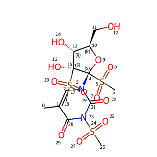 Cc1cn([C@]2(S(C)(=O)=O)O[C@H](CO)[C@@H](O)[C@]2(O)S(C)(=O)=O)c(=O)n(S(C)(=O)=O)c1=O